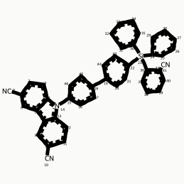 N#Cc1ccc2c(c1)c1cc(C#N)ccc1n2-c1ccc(-c2ccc([Si](c3ccccc3)(c3ccccc3)c3ccccc3C#N)cc2)cc1